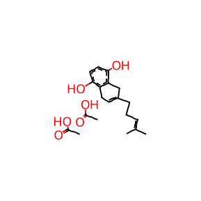 CC(=O)O.CC(=O)O.CC(C)=CCCC1=CCc2c(O)ccc(O)c2C1